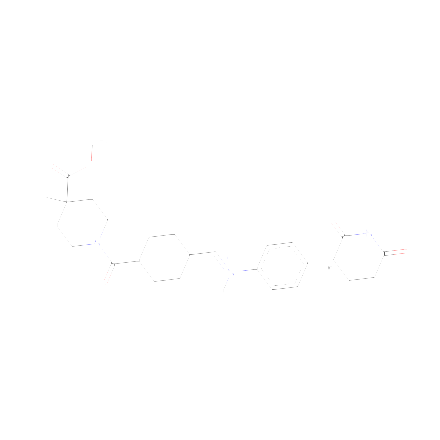 C/[N+](=C\C1CCC(C(=O)N2CCC(C)(C(=O)OC(C)(C)C)CC2)CC1)c1ccc([C@H]2CCC(=O)NC2=O)cc1